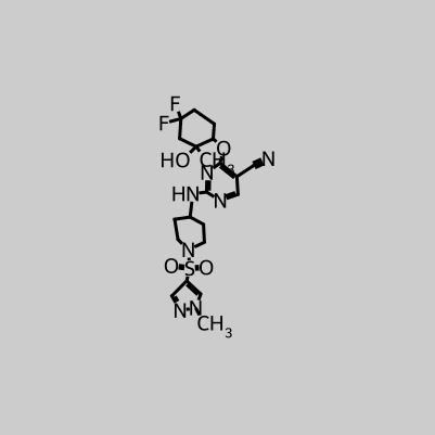 Cn1cc(S(=O)(=O)N2CCC(Nc3ncc(C#N)c(OC4CCC(F)(F)CC4(C)O)n3)CC2)cn1